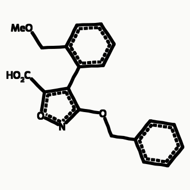 COCc1ccccc1-c1c(OCc2ccccc2)noc1C(=O)O